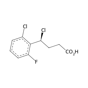 O=C(O)CC[C@H](Cl)c1c(F)cccc1Cl